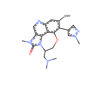 COc1cc2ncc3c4c2c(c1-c1cnn(C)c1)OCC(CN(C)C)n4c(=O)n3C